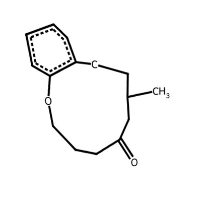 CC1CCc2ccccc2OCCCC(=O)C1